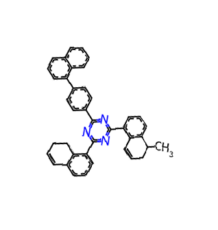 CC1CC=Cc2c(-c3nc(-c4ccc(-c5cccc6ccccc56)cc4)nc(-c4cccc5c4CCC=C5)n3)cccc21